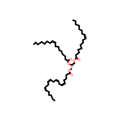 CCCCC/C=C\C/C=C\C/C=C\C/C=C\CCCC(=O)OC[C@@H](COC(=O)CCCCCCC/C=C\CCCCCCC)OC(=O)CCCCCCC/C=C\CCCCCCC